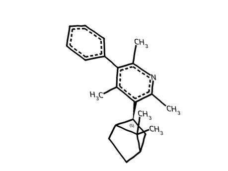 Cc1nc(C)c([C@H]2CC3CCC2C3(C)C)c(C)c1-c1ccccc1